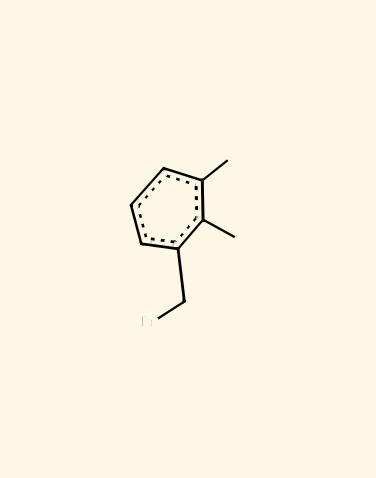 CC(C)Cc1cccc(F)c1F